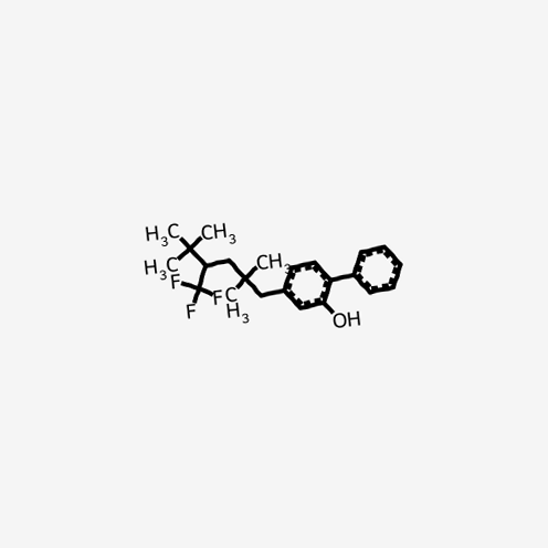 CC(C)(Cc1ccc(-c2ccccc2)c(O)c1)CC(C(C)(C)C)C(F)(F)F